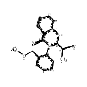 COCc1ccccc1-n1c(C(C)Br)nc2ccccc2c1=O